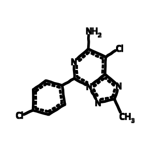 Cc1nc2c(Cl)c(N)nc(-c3ccc(Cl)cc3)n2n1